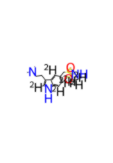 [2H]c1[nH]c2c([2H])c([2H])c(CS(=O)(=O)NC([2H])([2H])[2H])c([2H])c2c1CCN(C)C